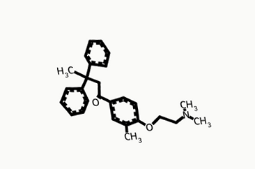 Cc1cc(C(=O)CC(C)(c2ccccc2)c2ccccc2)ccc1OCCN(C)C